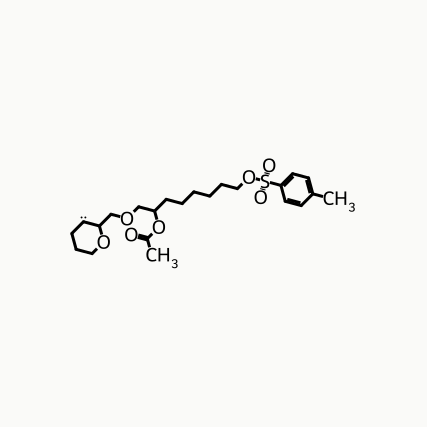 CC(=O)OC(CCCCCCOS(=O)(=O)c1ccc(C)cc1)COCC1[C]CCCO1